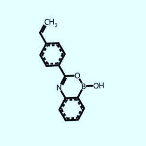 C=Cc1ccc(C2=Nc3ccccc3B(O)O2)cc1